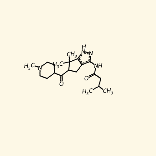 CC(C)CC(=O)Nc1n[nH]c2c1CC(C(=O)C1CCN(C)CC1)C2(C)C